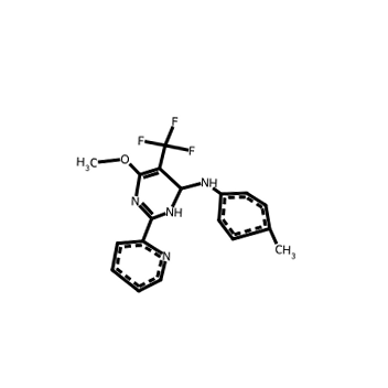 COC1=C(C(F)(F)F)C(Nc2ccc(C)cc2)NC(c2ccccn2)=N1